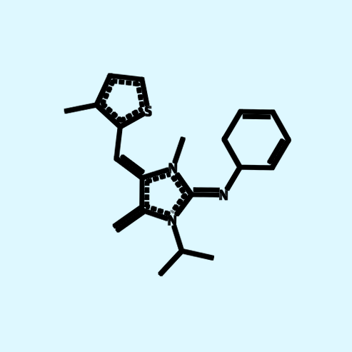 C=c1/c(=C/c2sccc2C)n(C)/c(=N\C2C=CC=CC2)n1C(C)C